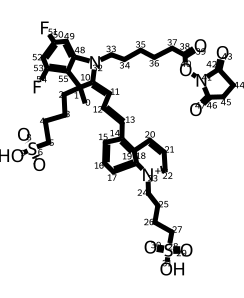 CC1(CCCCS(=O)(=O)O)C(=CC=Cc2cccc3c2ccc[n+]3CCCCS(=O)(=O)O)N(CCCCCC(=O)ON2C(=O)CCC2=O)c2cc(F)cc(F)c21